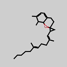 CCCCC/C(C)=C/CC/C(C)=C/C1CC12CCC1=CC=C(C)C(C)C1O2